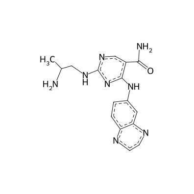 CC(N)CNc1ncc(C(N)=O)c(Nc2ccc3nccnc3c2)n1